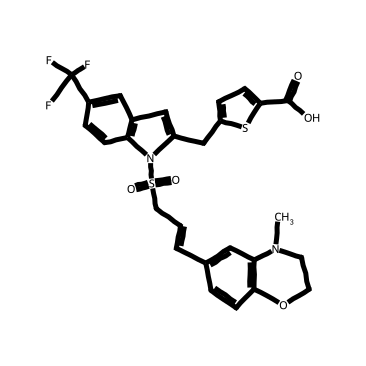 CN1CCOc2ccc(C=CCS(=O)(=O)n3c(Cc4ccc(C(=O)O)s4)cc4cc(C(F)(F)F)ccc43)cc21